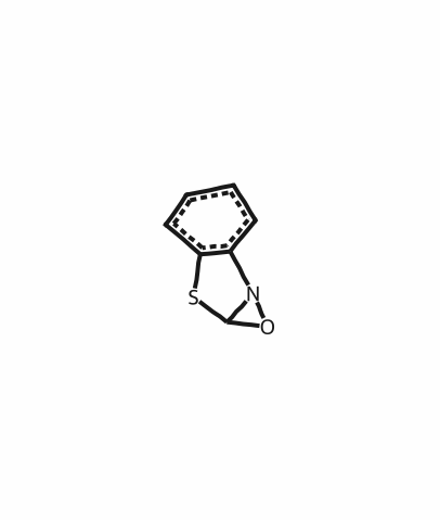 c1ccc2c(c1)SC1ON21